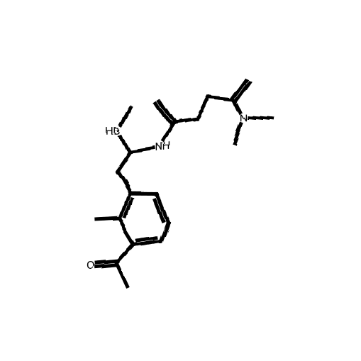 C=C(CCC(=C)N(C)C)NC(BC)Cc1cccc(C(C)=O)c1C